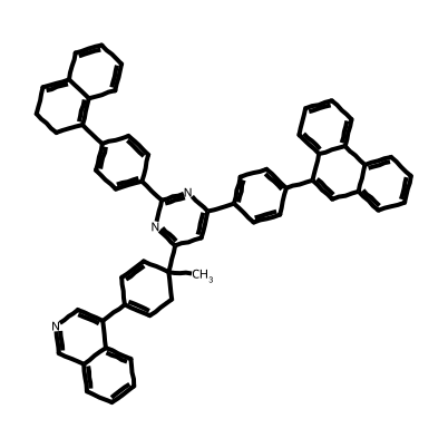 CC1(c2cc(-c3ccc(-c4cc5ccccc5c5ccccc45)cc3)nc(-c3ccc(C4=c5ccccc5=CCC4)cc3)n2)C=CC(c2cncc3ccccc23)=CC1